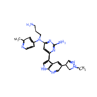 Cc1cc(N(CCCN)c2cc(-c3c[nH]c4ncc(C5C=NN(C)C5)cc34)nc(N)n2)ccn1